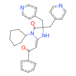 O=C(C=C1NC(Cc2ccncc2)(Cc2ccncc2)C(=O)N1C1CCCCC1)c1ccccc1